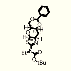 CCN(C(=O)OC(C)(C)C)C1=N[C@@H]2[CH][C@H]3OC(c4ccccc4)OC[C@H]3O[C@@H]2S1